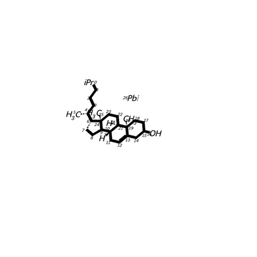 CC(C)CCC[C@@H](C)[C@H]1CCC2[C@H]3CC=C4CC(O)CC[C@]4(C)[C@@H]3CC[C@@]21C.[Pb]